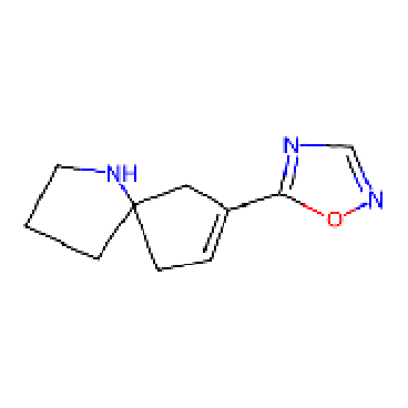 C1=C(c2ncno2)CC2(C1)CCCN2